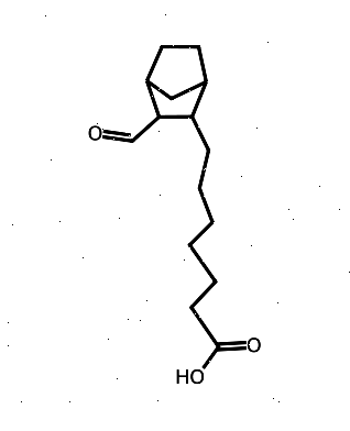 O=CC1C2CCC(C2)C1CCCCCCC(=O)O